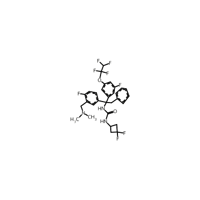 CN(C)Cc1cc(C(Cc2ccccc2)(NC(=O)NC2CC(F)(F)C2)c2cc(F)cc(OC(F)(F)C(F)F)c2)ccc1F